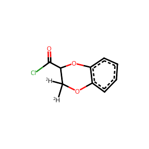 [2H]C1([2H])Oc2ccccc2OC1C(=O)Cl